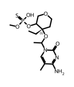 CC[C@]1(OC(C)n2cc(C)c(N)nc2=O)CCOCC1OP(O)(=S)OC